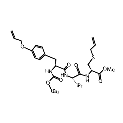 C=CCOc1ccc(C[C@H](NC(=O)OC(C)(C)C)C(=O)N[C@H](C(=O)N[C@@H](CSCC=C)C(=O)OC)C(C)C)cc1